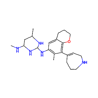 CNC1CC(C)NC(Nc2cc3c(c(C4=CCNCCC4)c2C)OCCC3)N1